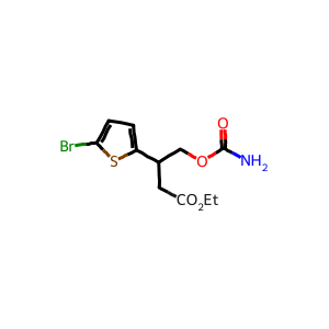 CCOC(=O)CC(COC(N)=O)c1ccc(Br)s1